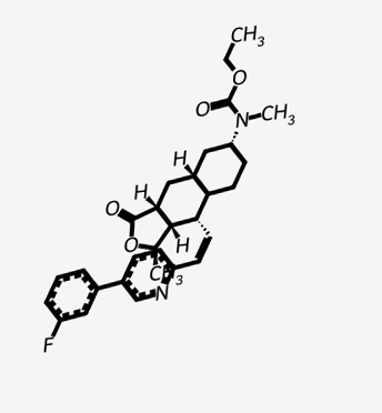 CCOC(=O)N(C)[C@@H]1CCC2[C@@H](C1)C[C@H]1C(=O)O[C@H](C)[C@H]1[C@H]2/C=C\c1ccc(-c2cccc(F)c2)cn1